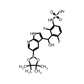 CCCS(=O)(=O)Nc1ccc(F)c(C(O)c2c[nH]c3ncc(B4OC(C)(C)C(C)(C)O4)cc23)c1F